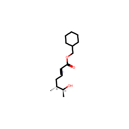 C[C@H](O)[C@H](C)C/C=C/C(=O)OCC1CCCCC1